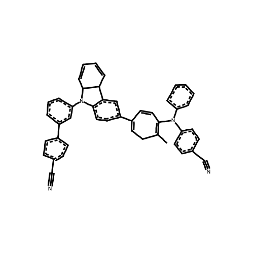 CC1=C(N(c2ccccc2)c2ccc(C#N)cc2)C=CC(c2ccc3c(c2)C2C=CC=CC2N3c2cccc(-c3ccc(C#N)cc3)c2)=CC1